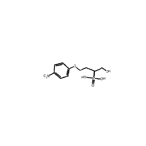 O=[N+]([O-])c1ccc(OCCC(CO)P(=O)(O)O)cc1